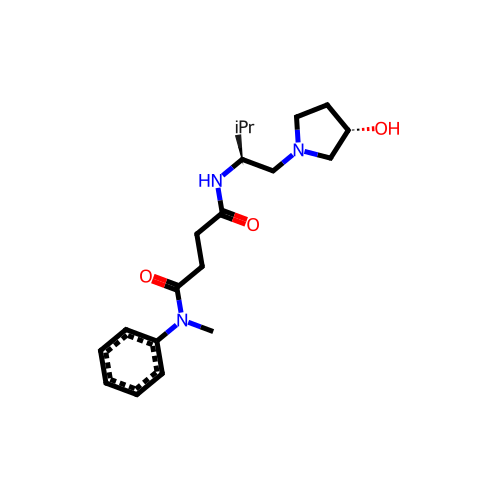 CC(C)[C@@H](CN1CC[C@H](O)C1)NC(=O)CCC(=O)N(C)c1ccccc1